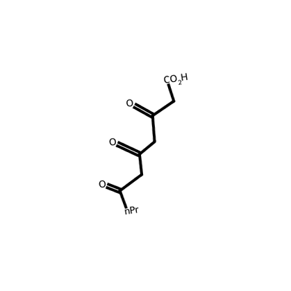 CCCC(=O)CC(=O)CC(=O)CC(=O)O